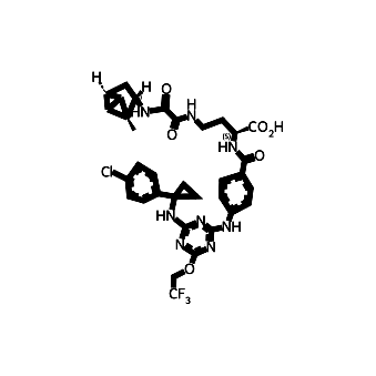 C[C@]12C3C1[C@H]3C[C@@H]2NC(=O)C(=O)NCC[C@H](NC(=O)c1ccc(Nc2nc(NC3(c4ccc(Cl)cc4)CC3)nc(OCC(F)(F)F)n2)cc1)C(=O)O